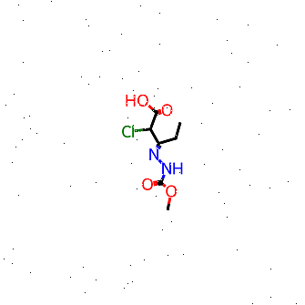 CC/C(=N\NC(=O)OC)C(Cl)C(=O)O